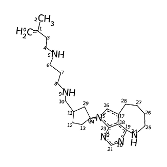 C=C(C)CCNCCCNCC1CC[C@H](n2cc3c4c(ncnc42)NCCCC3)C1